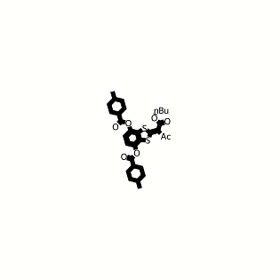 CCCCOC(=O)C(C(C)=O)=C1Sc2c(OC(=O)C3CCC(C)CC3)ccc(OC(=O)C3CCC(C)CC3)c2S1